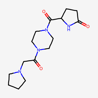 O=C1CCC(C(=O)N2CCN(C(=O)CN3CCCC3)CC2)N1